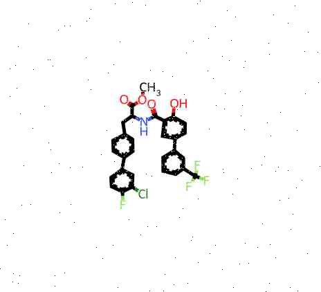 COC(=O)C(Cc1ccc(-c2ccc(F)c(Cl)c2)cc1)NC(=O)c1cc(-c2cccc(C(F)(F)F)c2)ccc1O